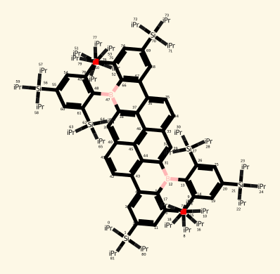 CC(C)[Si](c1cc2c(c([Si](C(C)C)(C(C)C)C(C)C)c1)B(c1c([Si](C(C)C)(C(C)C)C(C)C)cc([Si](C(C)C)(C(C)C)C(C)C)cc1[Si](C(C)C)(C(C)C)C(C)C)c1cc3ccc4c5c(cc6ccc-2c1c6c35)B(c1c([Si](C(C)C)(C(C)C)C(C)C)cc([Si](C(C)C)(C(C)C)C(C)C)cc1[Si](C(C)C)(C(C)C)C(C)C)c1c-4cc([Si](C(C)C)(C(C)C)C(C)C)cc1[Si](C(C)C)(C(C)C)C(C)C)(C(C)C)C(C)C